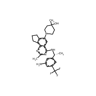 Cc1nc(N[C@H](C)c2cc(N)cc(C(F)(F)F)c2)c2cc(N3CCC(C)(O)CC3)c3c(c2n1)CCC3